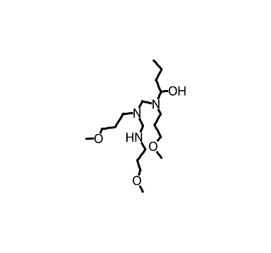 CCCC(O)N(CCCOC)CN(CCCOC)CNCCCOC